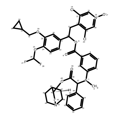 CN(c1cccc(C(=O)OC(Cc2c(Cl)c[n+]([O-])cc2Cl)c2ccc(OC(F)F)c(OCC3CC3)c2)c1)C(C(=O)O[C@H]1CN2CCC1CC2)c1ccccc1